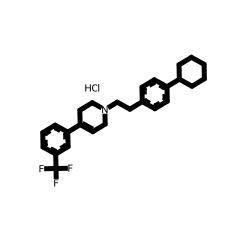 Cl.FC(F)(F)c1cccc(C2=CCN(CCc3ccc(C4CCCCC4)cc3)CC2)c1